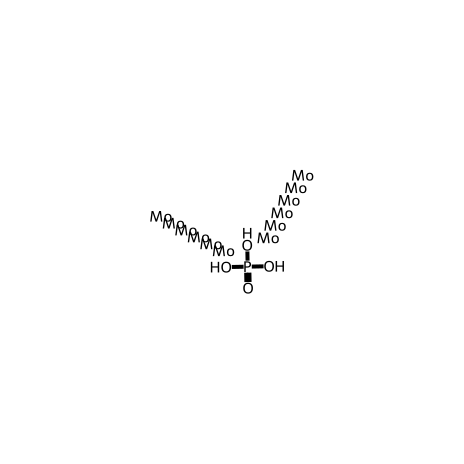 O=P(O)(O)O.[Mo].[Mo].[Mo].[Mo].[Mo].[Mo].[Mo].[Mo].[Mo].[Mo].[Mo].[Mo]